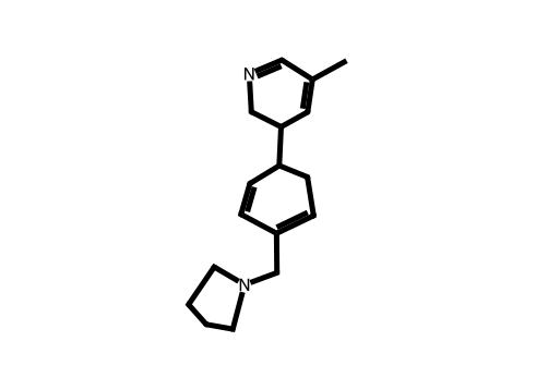 CC1=CC(C2C=CC(CN3CCCC3)=CC2)CN=C1